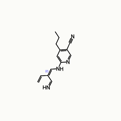 C=C/C(C=N)=C/Nc1cc(CCC)c(C#N)cn1